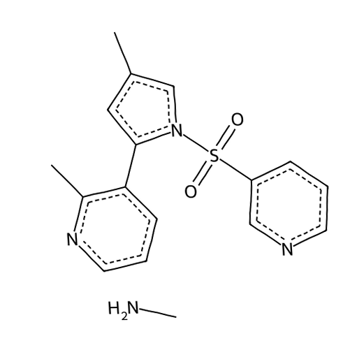 CN.Cc1cc(-c2cccnc2C)n(S(=O)(=O)c2cccnc2)c1